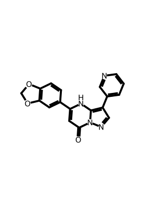 O=c1cc(-c2ccc3c(c2)OCO3)[nH]c2c(-c3cccnc3)cnn12